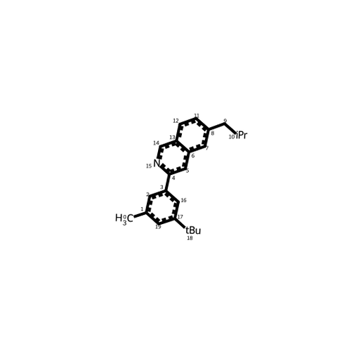 Cc1cc(-c2cc3cc(CC(C)C)ccc3cn2)cc(C(C)(C)C)c1